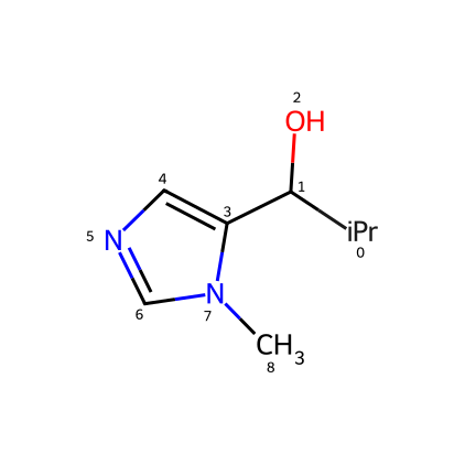 CC(C)C(O)c1cncn1C